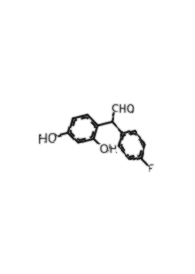 O=CC(c1ccc(F)cc1)c1ccc(O)cc1O